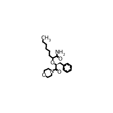 CCCCCCC(O[C@@H](Cc1ccccc1)C(=O)N1CCOCC1)C(N)=O